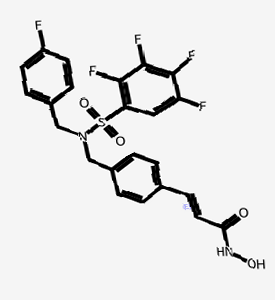 O=C(/C=C/c1ccc(CN(Cc2ccc(F)cc2)S(=O)(=O)c2cc(F)c(F)c(F)c2F)cc1)NO